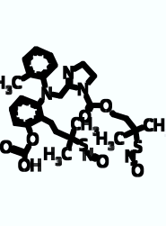 Cc1ccccc1N(CC1=NCCN1C(=O)OCCC(C)(C)SN=O)c1cccc(OC(=O)O)c1CCC(C)(C)SN=O